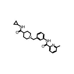 Cc1cccc(C(=O)Nc2cccc(CN3CCC(C(=O)NC4CC4)CC3)c2)n1